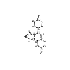 CN1CCN(c2nc3ccc(Br)cc3c3c[nH]nc23)CC1